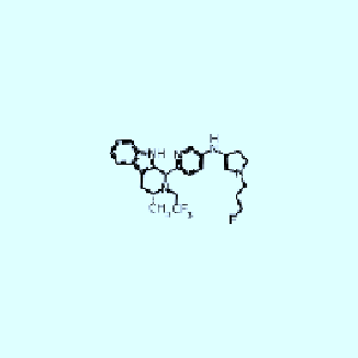 C[C@@H]1Cc2c([nH]c3ccccc23)[C@@H](c2ccc(N[C@H]3CCN(CCCF)C3)cn2)N1CC(F)(F)F